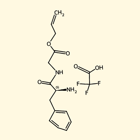 C=CCOC(=O)CNC(=O)[C@@H](N)Cc1ccccc1.O=C(O)C(F)(F)F